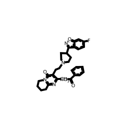 Cc1nc2n(c(=O)c1CCN1CCC(c3noc4cc(F)ccc34)CC1)CCCC2.O=C(O)c1ccccc1